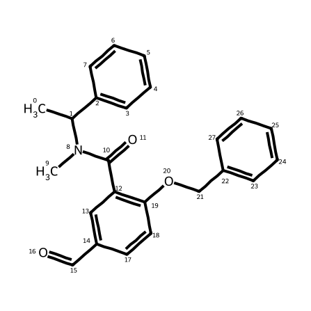 CC(c1ccccc1)N(C)C(=O)c1cc(C=O)ccc1OCc1ccccc1